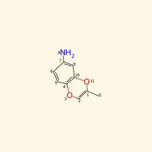 CC1=COc2ccc(N)cc2O1